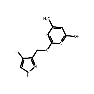 Cc1cc(O)nc(SCc2n[nH]cc2Cl)n1